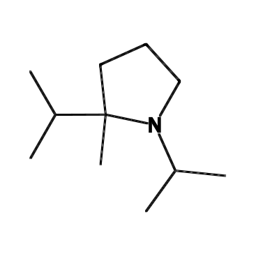 CC(C)N1CCCC1(C)C(C)C